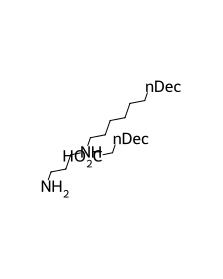 CCCCCCCCCCCC(=O)O.CCCCCCCCCCCCCCCCNCCCN